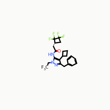 O=C(C[C@H]1CC(F)(F)C1(F)F)Nc1c(C2CCC2)c(Cc2ccccc2)nn1CC(F)(F)F